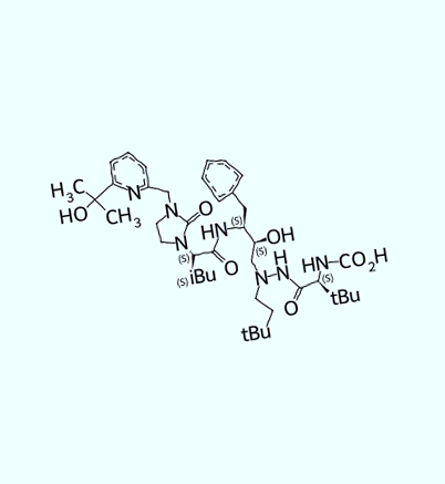 CC[C@H](C)[C@@H](C(=O)N[C@@H](Cc1ccccc1)[C@@H](O)CN(CCC(C)(C)C)NC(=O)[C@@H](NC(=O)O)C(C)(C)C)N1CCN(Cc2cccc(C(C)(C)O)n2)C1=O